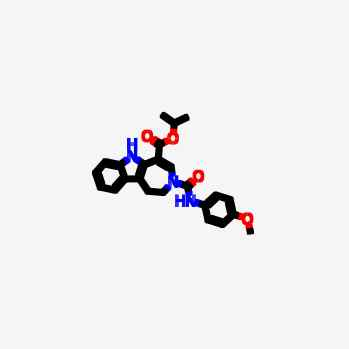 COc1ccc(NC(=O)N2C=C(C(=O)OC(C)C)c3[nH]c4ccccc4c3CC2)cc1